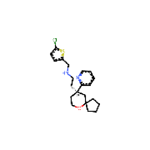 Clc1ccc(CNCC[C@@]2(c3ccccn3)CCOC3(CCCC3)C2)s1